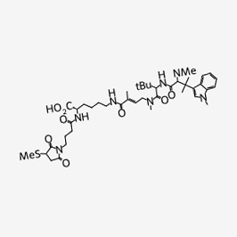 CNC(C(=O)NC(C(=O)N(C)C/C=C(\C)C(=O)NCCCC[C@@H](NC(=O)CCCN1C(=O)CC(SC)C1=O)C(=O)O)C(C)(C)C)C(C)(C)c1cn(C)c2ccccc12